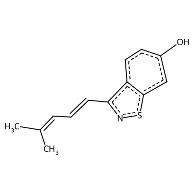 CC(C)=CC=Cc1nsc2cc(O)ccc12